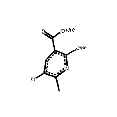 CCc1cc(C(=O)OC)c(OC)nc1C